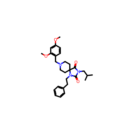 COc1ccc(CN2CCC3(CC2)C(=O)N(CC(C)C)C(=O)N3CCc2ccccc2)c(OC)c1